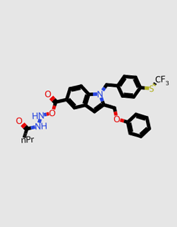 CCCC(=O)NNOC(=O)c1ccc2c(c1)cc(COc1ccccc1)n2Cc1ccc(SC(F)(F)F)cc1